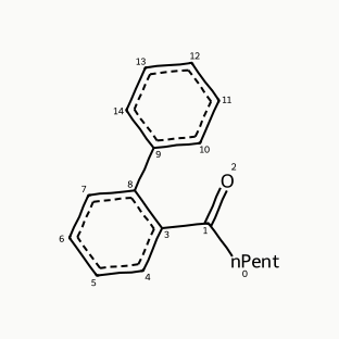 CCCCCC(=O)c1ccccc1-c1ccccc1